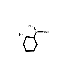 CCCCN(CCCC)C1CCCCC1.F